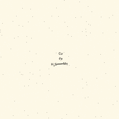 [Cu].[Fe].[SiH3][Mn]